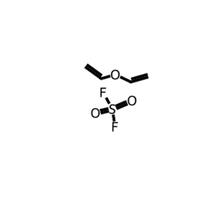 C=COC=C.O=S(=O)(F)F